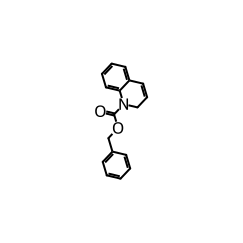 O=C(OCc1ccccc1)N1CC=Cc2ccccc21